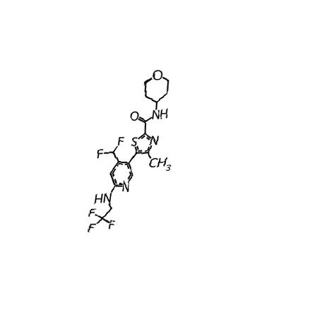 Cc1nc(C(=O)NC2CCOCC2)sc1-c1cnc(NCC(F)(F)F)cc1C(F)F